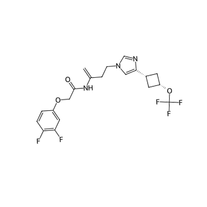 C=C(CCn1cnc([C@H]2C[C@@H](OC(F)(F)F)C2)c1)NC(=O)COc1ccc(F)c(F)c1